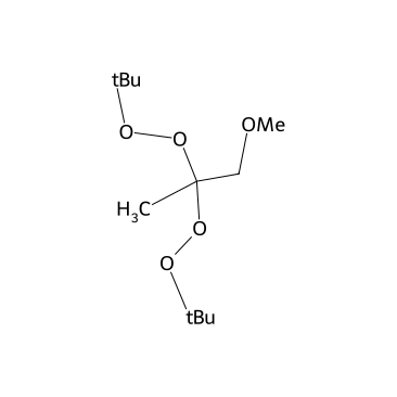 COCC(C)(OOC(C)(C)C)OOC(C)(C)C